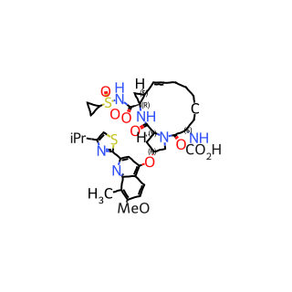 COc1ccc2c(O[C@@H]3C[C@H]4C(=O)N[C@]5(C(=O)NS(=O)(=O)C6CC6)C[C@H]5C=CCCCCC[C@H](NC(=O)O)C(=O)N4C3)cc(-c3nc(C(C)C)cs3)nc2c1C